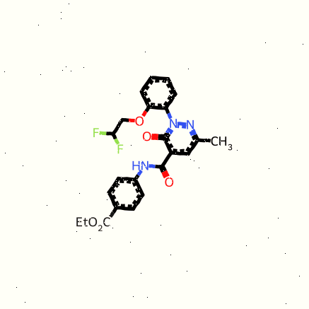 CCOC(=O)c1ccc(NC(=O)c2cc(C)nn(-c3ccccc3OCC(F)F)c2=O)cc1